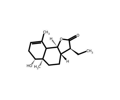 CC[C@@H]1C(=O)O[C@@H]2C3C(C)=CC[C@@H](O)[C@]3(C)CC[C@@H]12